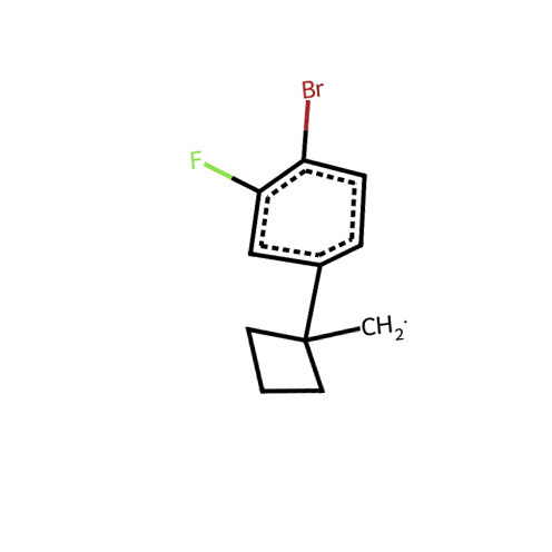 [CH2]C1(c2ccc(Br)c(F)c2)CCC1